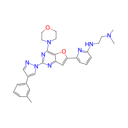 Cc1cccc(-c2cnn(-c3nc(N4CCOCC4)c4oc(-c5cccc(NCCN(C)C)n5)cc4n3)c2)c1